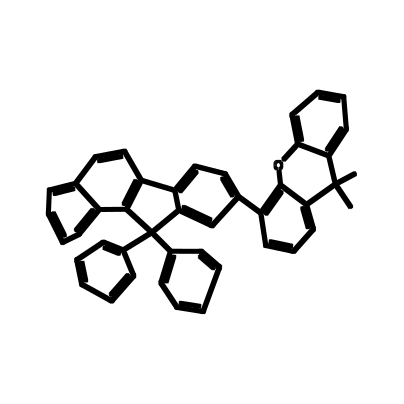 CC1(C)c2ccccc2Oc2c(-c3ccc4c(c3)C(c3ccccc3)(c3ccccc3)c3c-4ccc4ccccc34)cccc21